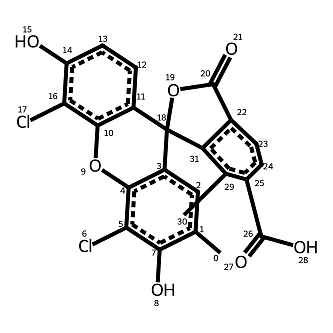 Cc1cc2c(c(Cl)c1O)Oc1c(ccc(O)c1Cl)C21OC(=O)c2ccc(C(=O)O)c(C)c21